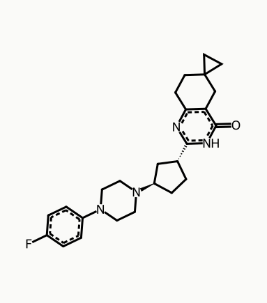 O=c1[nH]c([C@@H]2CC[C@@H](N3CCN(c4ccc(F)cc4)CC3)C2)nc2c1CC1(CC2)CC1